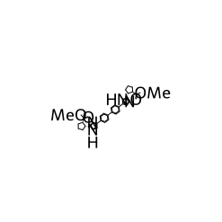 COC(=O)C1CCC[C@H]1c1ncc(-c2ccc(-c3ccc(-c4c[nH]c([C@@H]5CCC[C@H]5C(=O)OC)n4)cc3)cc2)[nH]1